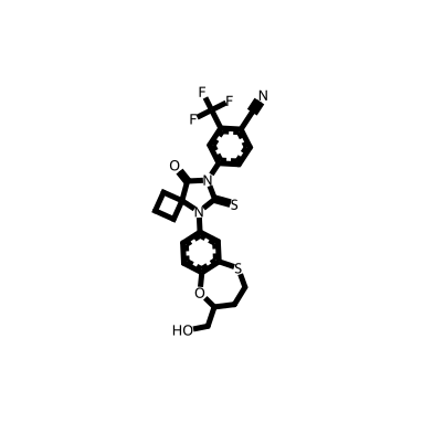 N#Cc1ccc(N2C(=O)C3(CCC3)N(c3ccc4c(c3)SCCC(CO)O4)C2=S)cc1C(F)(F)F